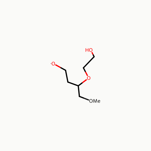 COCC(CC[O])OCCO